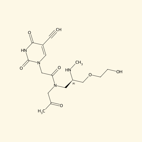 C#Cc1cn(CC(=O)N(CC(C)=O)C[C@H](COCCO)NC)c(=O)[nH]c1=O